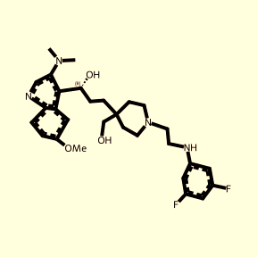 COc1ccc2ncc(N(C)C)c([C@H](O)CCC3(CO)CCN(CCNc4cc(F)cc(F)c4)CC3)c2c1